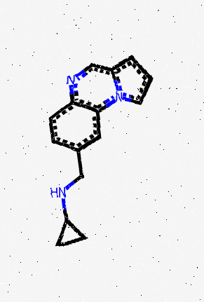 c1cc2cnc3ccc(CNC4CC4)cc3n2c1